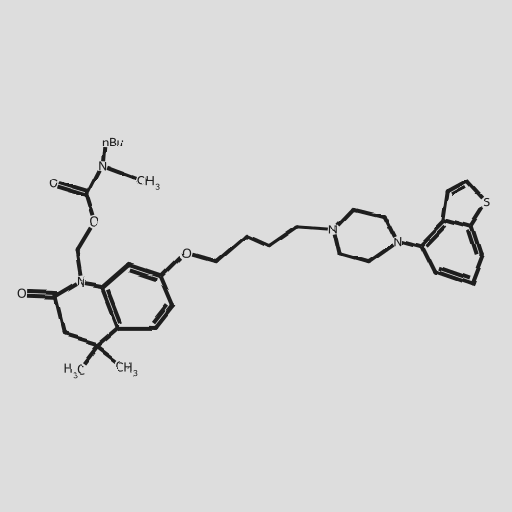 CCCCN(C)C(=O)OCN1C(=O)CC(C)(C)c2ccc(OCCCCN3CCN(c4cccc5sccc45)CC3)cc21